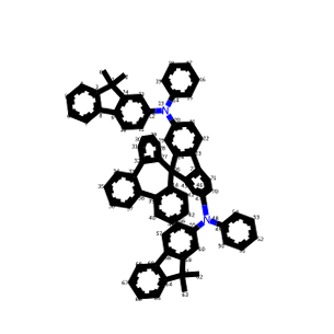 CC1(C)c2ccccc2-c2ccc(N(c3ccccc3)c3ccc4c(c3)C3(c5ccccc5-c5ccccc5-c5ccccc53)c3cc(N(c5ccccc5)c5ccc6c(c5)C(C)(C)c5ccccc5-6)ccc3-4)cc21